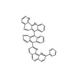 c1ccc(-c2ccc3ccc4ccc(-c5c6ccccc6c(-c6c7ccccc7nc7c6ccc6cccnc67)c6ccccc56)nc4c3n2)cc1